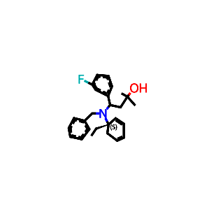 CC[C@@]1(N(Cc2ccccc2)C(CC(C)(C)O)c2cccc(F)c2)C=CC=CC1